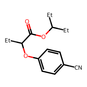 CCC(CC)OC(=O)C(CC)Oc1ccc(C#N)cc1